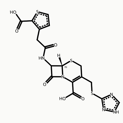 O=C(Cc1ccsc1C(=O)O)NC1C(=O)N2C(C(=O)O)=C(CSc3nc[nH]n3)CS[C@@H]12